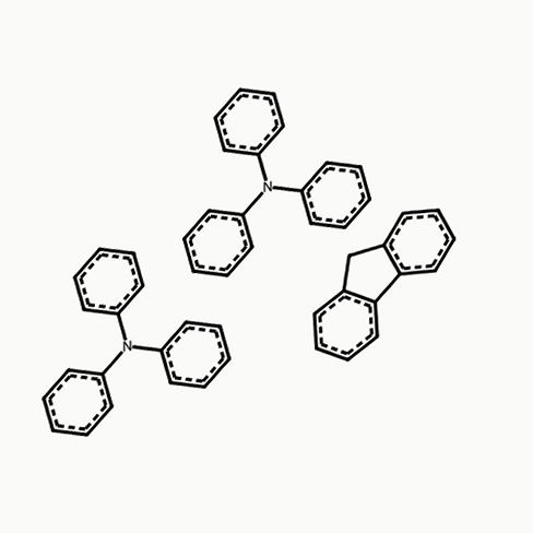 c1ccc(N(c2ccccc2)c2ccccc2)cc1.c1ccc(N(c2ccccc2)c2ccccc2)cc1.c1ccc2c(c1)Cc1ccccc1-2